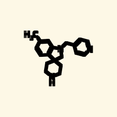 Cc1ccc2c(c1)N(Cc1ccncc1)CC21CCNCC1